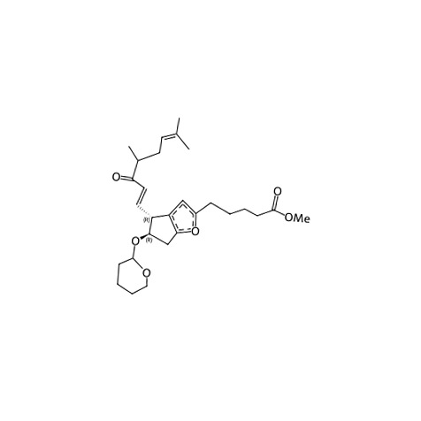 COC(=O)CCCCc1cc2c(o1)C[C@@H](OC1CCCCO1)[C@@H]2C=CC(=O)C(C)CC=C(C)C